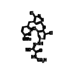 COc1ccc(Cc2cc(Oc3c(Cl)cc(NN=C(C#N)C(=O)NC(=O)O)cc3Cl)nnc2Cl)nn1